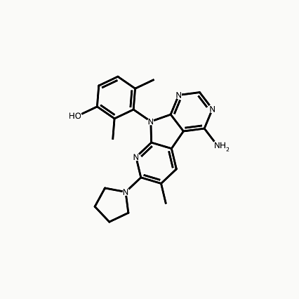 Cc1cc2c3c(N)ncnc3n(-c3c(C)ccc(O)c3C)c2nc1N1CCCC1